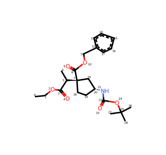 CCOC(=O)C(C)[C@]1(C(=O)OCc2ccccc2)CC[C@@H](NC(=O)OC(C)(C)C)C1